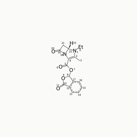 CCN1C(C)=C(C(=O)OC2OC(=O)c3ccccc32)N2C(=O)C[C@H]12